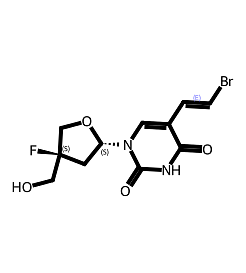 O=c1[nH]c(=O)n([C@@H]2C[C@](F)(CO)CO2)cc1/C=C/Br